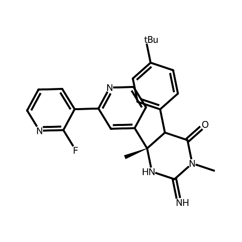 CN1C(=N)N[C@](C)(c2ccnc(-c3cccnc3F)c2)C(c2ccc(C(C)(C)C)cc2)C1=O